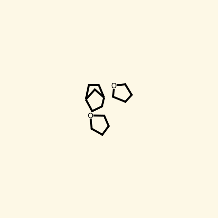 C1CC2CCC1C2.C1CCOC1.C1CCOC1